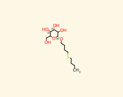 CCCCSCCCCO[C@@H]1OC(CO)[C@@H](O)[C@H](O)C1O